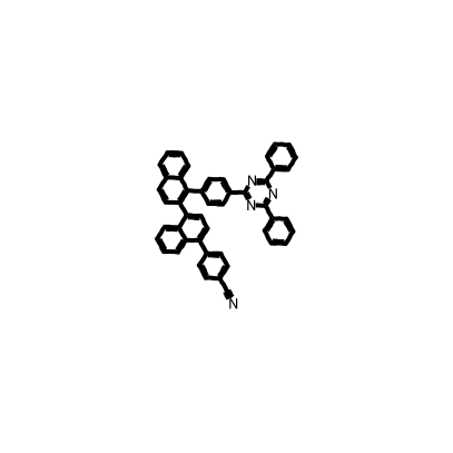 N#Cc1ccc(-c2ccc(-c3ccc4ccccc4c3-c3ccc(-c4nc(-c5ccccc5)nc(-c5ccccc5)n4)cc3)c3ccccc23)cc1